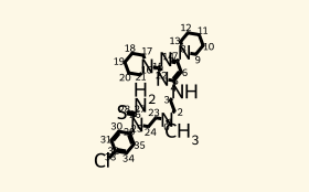 CN(CCNc1cc(N2CCCCC2)nc(N2CCCCC2)n1)CCN(C(N)=S)c1ccc(Cl)cc1